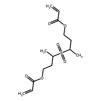 C=CC(=O)OCCC(C)S(=O)(=O)C(C)CCOC(=O)C=C